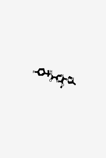 COc1nc(C(=O)NC(C)(C)c2ccc(F)cc2)cnc1-n1cnc(C)c1